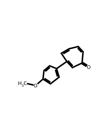 COc1ccc(-c2ccccc(=O)c2)cc1